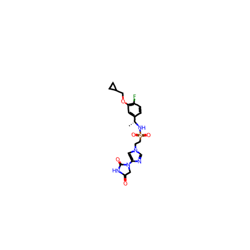 C[C@@H](NS(=O)(=O)CCn1cnc(N2CC(=O)NC2=O)c1)c1ccc(F)c(OCC2CC2)c1